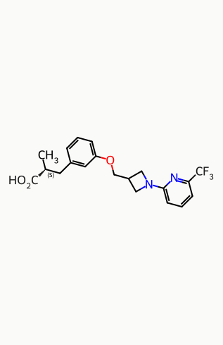 C[C@@H](Cc1cccc(OCC2CN(c3cccc(C(F)(F)F)n3)C2)c1)C(=O)O